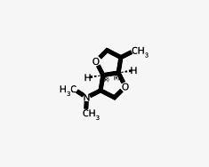 CC1CO[C@@H]2C(N(C)C)CO[C@H]12